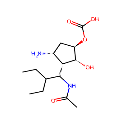 CCC(CC)C(NC(C)=O)[C@H]1[C@@H](O)[C@H](OC(=O)O)C[C@H]1N